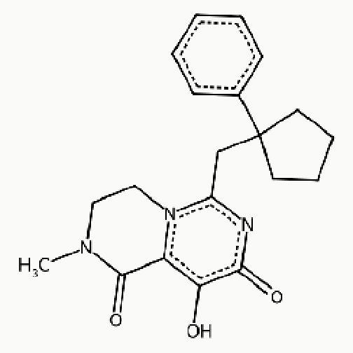 CN1CCn2c(CC3(c4ccccc4)CCCC3)nc(=O)c(O)c2C1=O